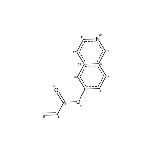 C=CC(=O)Oc1ccc2cnccc2c1